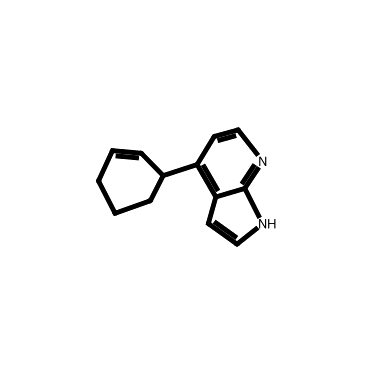 C1=CC(c2ccnc3[nH]ccc23)CCC1